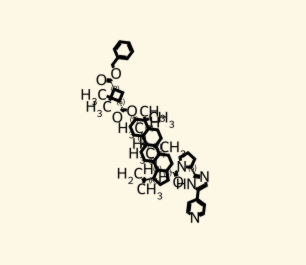 C=C(C)[C@@H]1CC[C@]2(C(=O)N3CCC[C@H]3c3ncc(-c4ccncc4)[nH]3)CC[C@]3(C)[C@H](CC[C@@H]4[C@@]5(C)CC[C@H](OC(=O)[C@H]6C[C@@H](C(=O)OCc7ccccc7)C6(C)C)C(C)(C)[C@@H]5CC[C@]43C)[C@@H]12